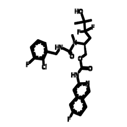 CN(C(=O)NCc1cccc(F)c1Cl)[C@H](COC(=O)Nc1cc2cc(F)ccc2cn1)CC(F)(F)C(C)(C)O